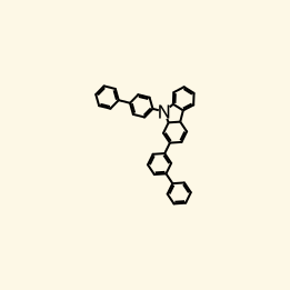 C1=CC2c3ccccc3N(c3ccc(-c4ccccc4)cc3)C2C=C1c1cccc(-c2ccccc2)c1